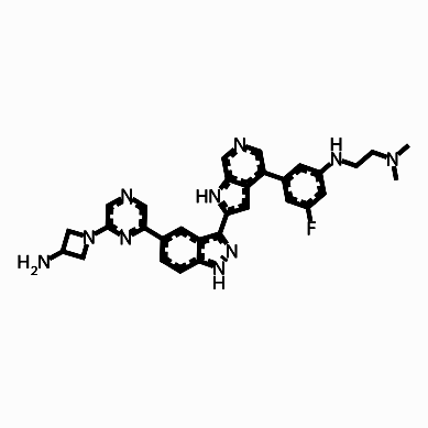 CN(C)CCNc1cc(F)cc(-c2cncc3[nH]c(-c4n[nH]c5ccc(-c6cncc(N7CC(N)C7)n6)cc45)cc23)c1